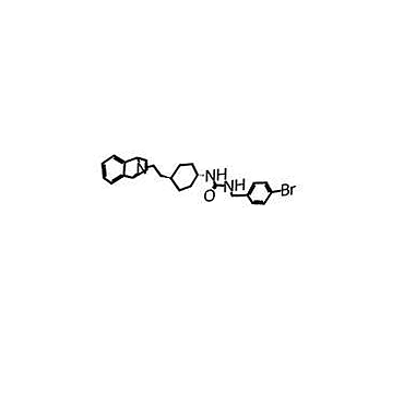 O=C(NCc1ccc(Br)cc1)N[C@H]1CC[C@H](CCN2C3CCC2c2ccccc23)CC1